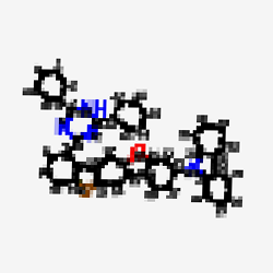 c1ccc(C2=NC(c3cccc4sc5cc6c(cc5c34)oc3cc(-n4c5ccccc5c5ccccc54)ccc36)=NC(c3ccccc3)N2)cc1